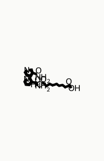 NC(=O)c1cccnc1.NC(=O)c1cccnc1.O=C(O)CCCCCCCC(=O)O